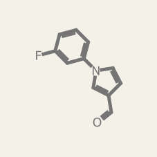 O=Cc1ccn(-c2cccc(F)c2)c1